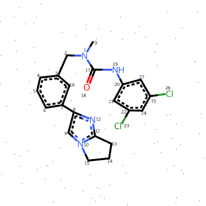 CN(Cc1cccc(-c2cn3c(n2)CCC3)c1)C(=O)Nc1cc(Cl)cc(Cl)c1